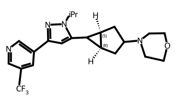 CC(C)n1nc(-c2cncc(C(F)(F)F)c2)cc1C1[C@H]2CC(N3CCOCC3)C[C@@H]12